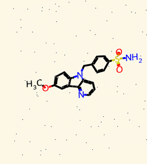 COc1ccc2c(c1)c1ncccc1n2Cc1ccc(S(N)(=O)=O)cc1